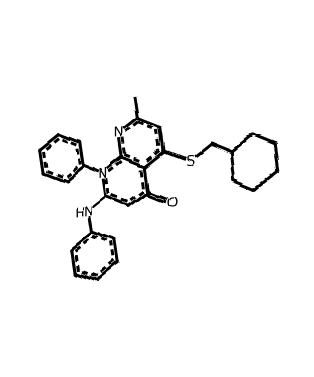 Cc1cc(SCC2CCCCC2)c2c(=O)cc(Nc3ccccc3)n(-c3ccccc3)c2n1